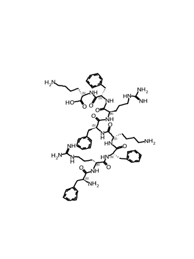 N=C(N)NCCC[C@@H](NC(=O)[C@H](Cc1ccccc1)NC(=O)[C@H](CCCCN)NC(=O)[C@H](Cc1ccccc1)NC(=O)[C@@H](CCCNC(=N)N)NC(=O)[C@@H](N)Cc1ccccc1)C(=O)N[C@@H](Cc1ccccc1)C(=O)N[C@@H](CCCCN)C(=O)O